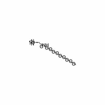 CCOCCOCCOCCOCCOCCOCCOCCOCCOCCNC(=O)CCCC#Cc1cnc(SC)nc1